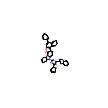 c1ccc(-c2cc3oc4c(ccc5c4c4ccccc4n5-c4nc(-c5ccc6ccccc6c5)c5sc6ccccc6c5n4)c3c3ccccc23)cc1